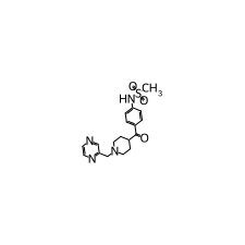 CS(=O)(=O)Nc1ccc(C(=O)C2CCN(Cc3cnccn3)CC2)cc1